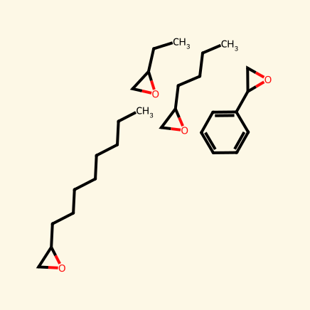 CCC1CO1.CCCCC1CO1.CCCCCCCCC1CO1.c1ccc(C2CO2)cc1